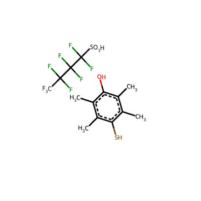 Cc1c(C)c(S)c(C)c(C)c1O.O=S(=O)(O)C(F)(F)C(F)(F)C(F)(F)C(F)(F)F